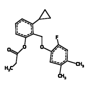 CCC(=O)Oc1cccc(C2CC2)c1COc1cc(C)c(C)cc1F